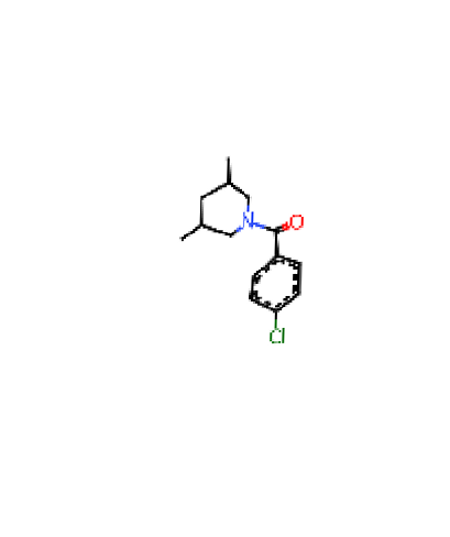 CC1CC(C)CN(C(=O)c2ccc(Cl)cc2)C1